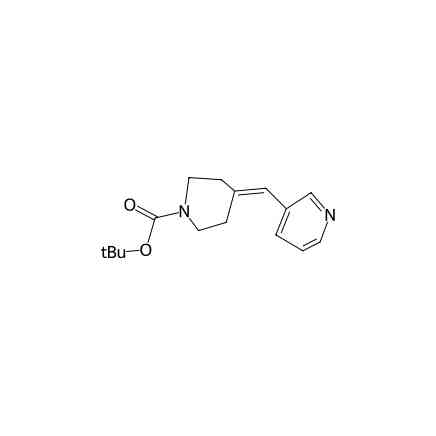 CC(C)(C)OC(=O)N1CCC(=Cc2cccnc2)CC1